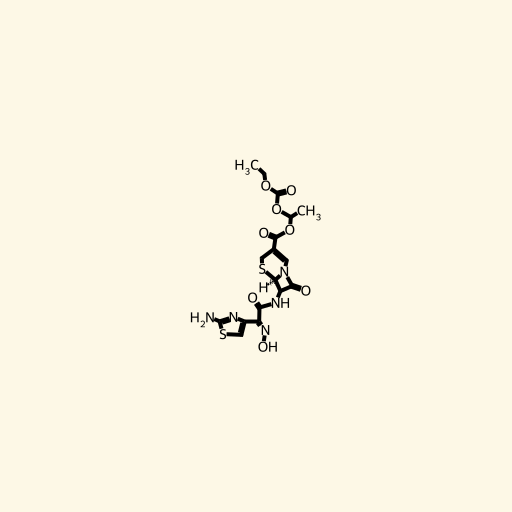 CCOC(=O)OC(C)OC(=O)C1=CN2C(=O)C(NC(=O)C(=NO)c3csc(N)n3)[C@H]2SC1